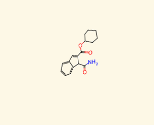 NC(=O)C1C(C(=O)OC2CCCCC2)=Cc2ccccc21